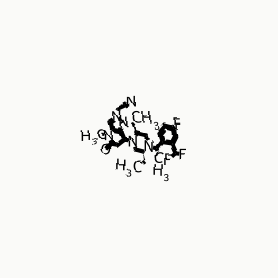 CC[C@H]1CN(C(C)c2ccc(F)cc2C(F)F)[C@H](CC)CN1c1cc(=O)n(C)c2cn(CC#N)nc12